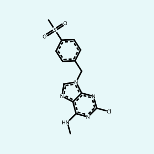 CNc1nc(Cl)nc2c1ncn2Cc1ccc(S(C)(=O)=O)cc1